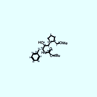 COC[C@@H]1CCCN1C[C@H](O)[C@@H](Cc1ccccc1)NC(=O)OC(C)(C)C